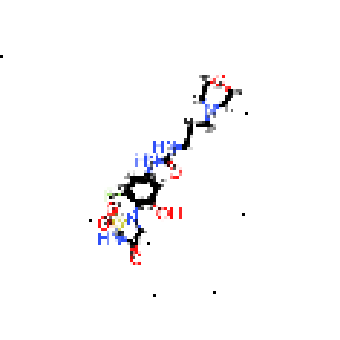 O=C1CN(c2c(O)cc(NC(=O)NCCCN3CCOCC3)cc2F)S(=O)(=O)N1